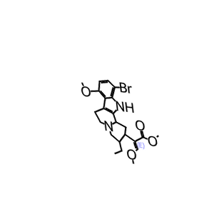 CCC1CN2CCc3c([nH]c4c(Br)ccc(OC)c34)C2CC1/C(=C\OC)C(=O)OC